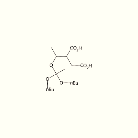 CCCCOC(C)(OCCCC)OC(C)C(CC(=O)O)C(=O)O